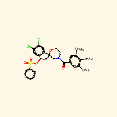 COc1cc(C(=O)N2CCOC(CCOS(=O)(=O)c3ccccc3)(c3ccc(Cl)c(Cl)c3)C2)cc(OC)c1OC